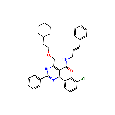 O=C(NCC=Cc1ccccc1)C1=C(COCCC2CCCCC2)NC(c2ccccc2)=NC1c1cccc(Cl)c1